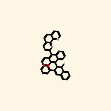 IC1c2ccccc2C=C(c2ccccc2)C1c1c2ccccc2c(-c2ccc3ccc4cccnc4c3n2)c2ccccc12